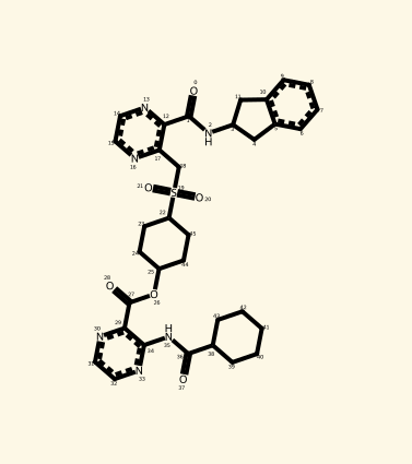 O=C(NC1Cc2ccccc2C1)c1nccnc1CS(=O)(=O)C1CCC(OC(=O)c2nccnc2NC(=O)C2CCCCC2)CC1